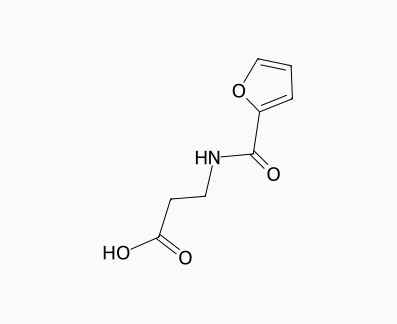 O=C(O)CCNC(=O)c1ccco1